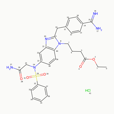 CCOC(=O)CCCn1c(Cc2ccc(C(=N)N)cc2)nc2cc(N(CC(N)=O)S(=O)(=O)c3ccccc3)ccc21.Cl